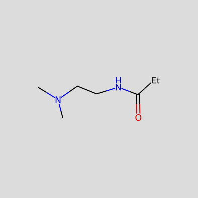 [CH2]CC(=O)NCCN(C)C